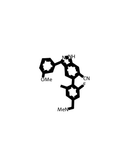 CNCc1cc(C)c(-c2cc3c(-c4cccc(OC)c4)n[nH]c3cc2C#N)c(F)c1